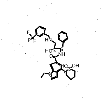 CCn1ccc2c(N3CCCCS3(O)O)cc(C(=O)N[C@@H](Cc3ccccc3)[C@@H](O)CNCc3cccc(C(F)(F)F)c3)cc21